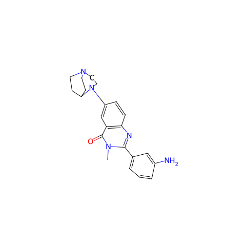 Cn1c(-c2cccc(N)c2)nc2ccc(N3CCN4CCC3CC4)cc2c1=O